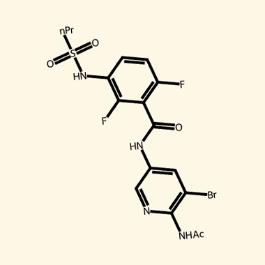 CCCS(=O)(=O)Nc1ccc(F)c(C(=O)Nc2cnc(NC(C)=O)c(Br)c2)c1F